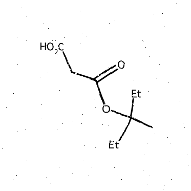 CCC(C)(CC)OC(=O)CC(=O)O